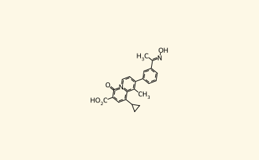 C/C(=N\O)c1cccc(-c2ccn3c(=O)c(C(=O)O)cc(C4CC4)c3c2C)c1